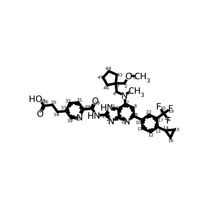 COCC1(CN(C)c2cc(-c3ccc(C4CC4)c(C(F)(F)F)c3)nc3nc(NC(=O)c4ccc(CCC(=O)O)cn4)[nH]c23)CCCC1